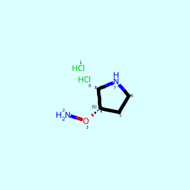 Cl.Cl.NO[C@H]1CCNC1